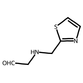 O=CCNCc1nccs1